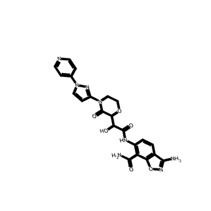 NC(=O)c1c(NC(=O)C(O)C2OCCN(c3ccn(-c4ccncc4)n3)C2=O)ccc2c(N)noc12